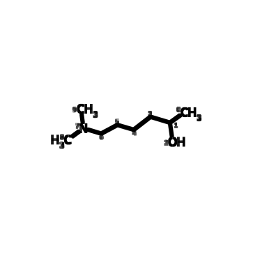 CC(O)CCCCN(C)C